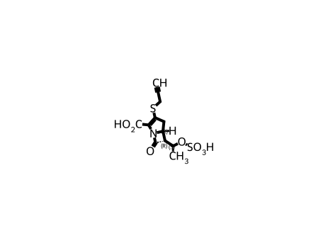 C#CCSC1=C(C(=O)O)N2C(=O)[C@@H]([C@H](C)OS(=O)(=O)O)[C@H]2C1